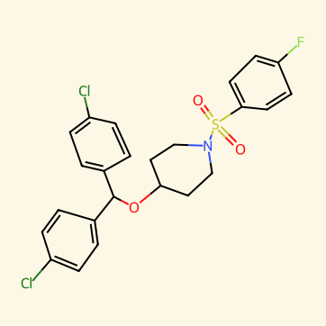 O=S(=O)(c1ccc(F)cc1)N1CCC(OC(c2ccc(Cl)cc2)c2ccc(Cl)cc2)CC1